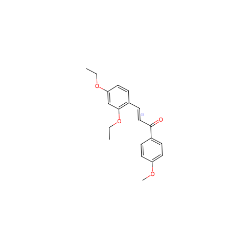 CCOc1ccc(/C=C/C(=O)c2ccc(OC)cc2)c(OCC)c1